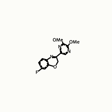 COc1ncc(C2=Nc3ccc(F)cc3OC2)nc1OC